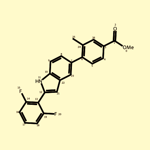 COC(=O)c1ccc(-c2ccc3[nH]c(-c4c(F)cccc4F)cc3c2)c(C)c1